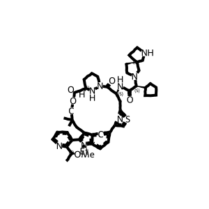 CCn1c(-c2cccnc2[C@H](C)OC)c2c3cc(ccc31)-c1csc(n1)C[C@H](NC(=O)[C@H](C1CCCC1)N1CC[C@]3(CCNC3)C1)C(=O)N1CCC[C@H](N1)C(=O)OCC(C)(C)C2